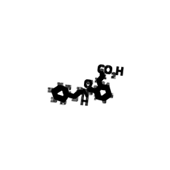 O=C(O)CCc1ccccc1C(=O)NCCc1ccccc1